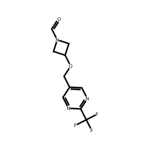 O=CN1CC(OCc2cnc(C(F)(F)F)nc2)C1